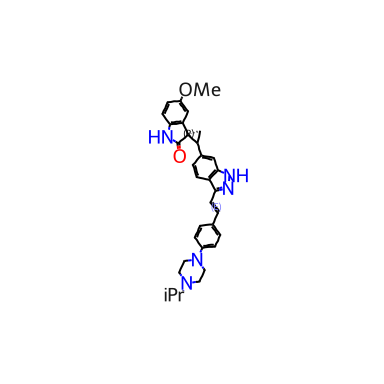 COc1ccc2c(c1)[C@]1(CC1c1ccc3c(/C=C/c4ccc(N5CCN(C(C)C)CC5)cc4)n[nH]c3c1)C(=O)N2